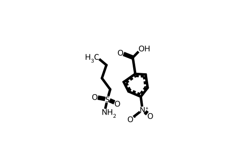 CCCCS(N)(=O)=O.O=C(O)c1ccc([N+](=O)[O-])cc1